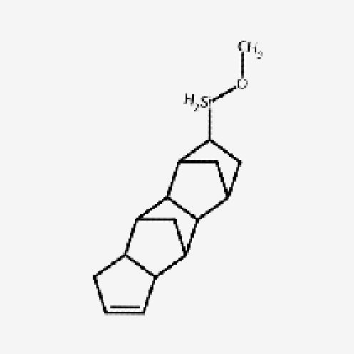 CO[SiH2]C1CC2CC1C1C3CC(C4C=CCC43)C21